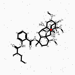 CCCC(C)C(=O)Nc1ccccc1C(=O)OC1(C)CC[C@H](OC)C23C1CC(N2NC)[C@@]1(O)C[C@H](OC)[C@H]2CC3[C@]1(O)[C@H]2OC